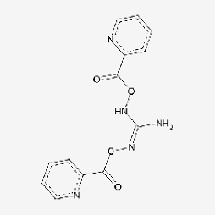 NC(=NOC(=O)c1ccccn1)NOC(=O)c1ccccn1